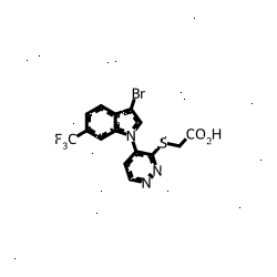 O=C(O)CSc1nnccc1-n1cc(Br)c2ccc(C(F)(F)F)cc21